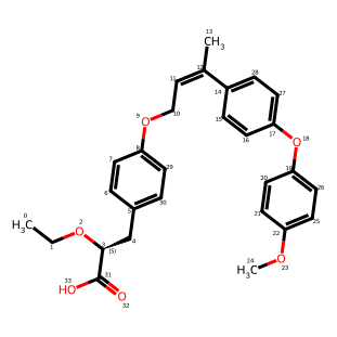 CCO[C@@H](Cc1ccc(OCC=C(C)c2ccc(Oc3ccc(OC)cc3)cc2)cc1)C(=O)O